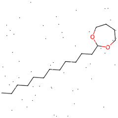 CCCCCCCCCCCCC1OCCCCO1